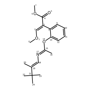 CO/C=C(/C(=O)OC)c1ccccc1O/C(C)=N/C=C(\C)C(C)(C)C